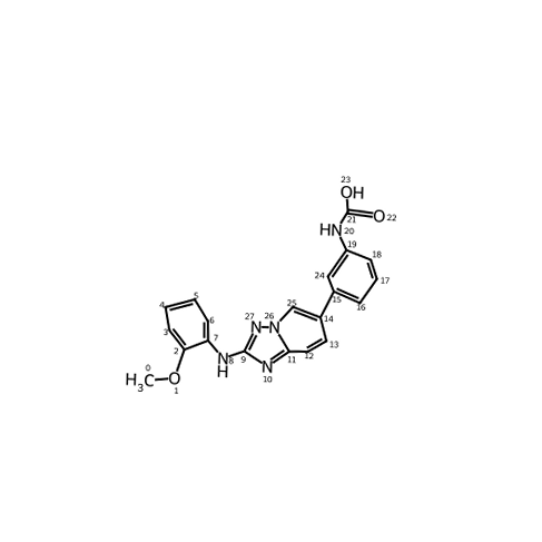 COc1ccccc1Nc1nc2ccc(-c3cccc(NC(=O)O)c3)cn2n1